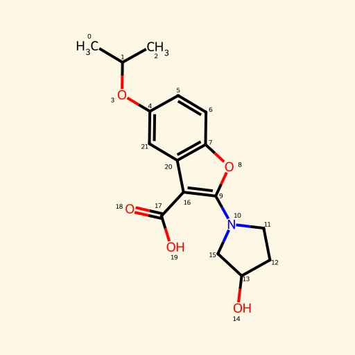 CC(C)Oc1ccc2oc(N3CCC(O)C3)c(C(=O)O)c2c1